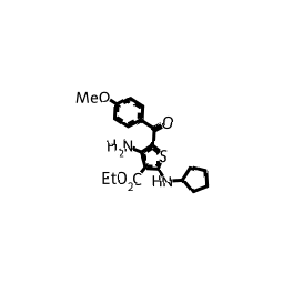 CCOC(=O)c1c(NC2CCCC2)sc(C(=O)c2ccc(OC)cc2)c1N